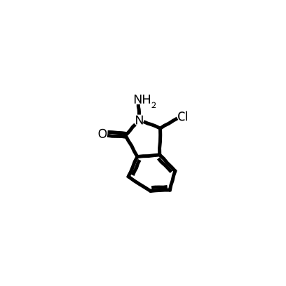 NN1C(=O)c2ccccc2C1Cl